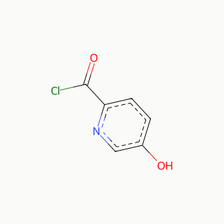 O=C(Cl)c1ccc(O)cn1